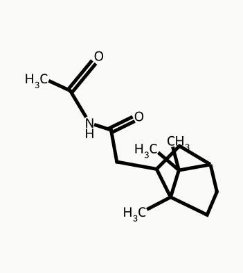 CC(=O)NC(=O)CC1CC2CCC1(C)C2(C)C